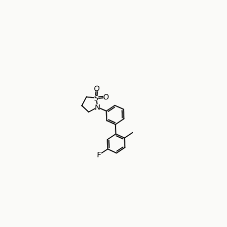 Cc1ccc(F)cc1-c1cccc(N2CCCS2(=O)=O)c1